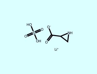 O=C([O-])C1CN1.O=S(=O)(O)O.[Li+]